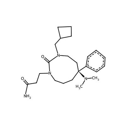 CN(C)[C@@]1(c2ccccc2)CCCN(CCC(N)=O)C(=O)N(CC2CCC2)CC1